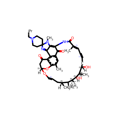 CC(=O)OC1[C@H](C)C/C=C/O[C@@H]2CC(=O)c3c(c(C)cc4c3C3=NC5(CCN(CC(C)C)CC5)N(C)C3=C(NC(=O)/C(C)=C/C=C/C[C@H](O)[C@@H](C)[C@@H](O)[C@H]1C)C4=O)O2